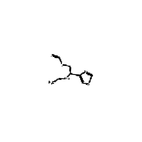 CCNC(COC=O)c1cscn1